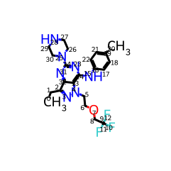 CCc1nn(CCOCC(F)(F)F)c2c(Nc3ccc(C)cc3)nc(N3CCNCC3)nc12